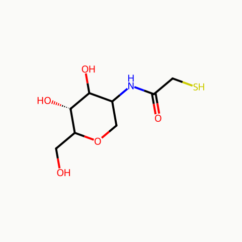 O=C(CS)NC1COC(CO)[C@H](O)C1O